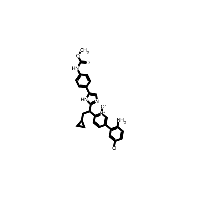 COC(=O)Nc1ccc(-c2cnc(C(CC3CC3)c3ccc(-c4cc(Cl)ccc4N)c[n+]3[O-])[nH]2)cc1